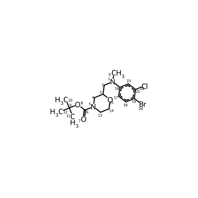 CN(CC1CN(C(=O)OC(C)(C)C)CCO1)c1ccc(Br)c(Cl)c1